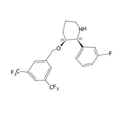 Fc1cccc([C@@H]2NCCC[C@@H]2OCc2cc(C(F)(F)F)cc(C(F)(F)F)c2)c1